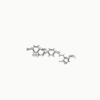 Cc1ncc([N+](=O)[O-])n1CCOc1ccc(C(=O)Nc2ccc(Br)cc2C(=O)O)cc1